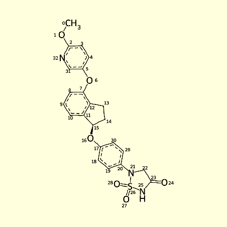 COc1ccc(Oc2cccc3c2CC[C@H]3Oc2ccc(N3CC(=O)NS3(=O)=O)cc2)cn1